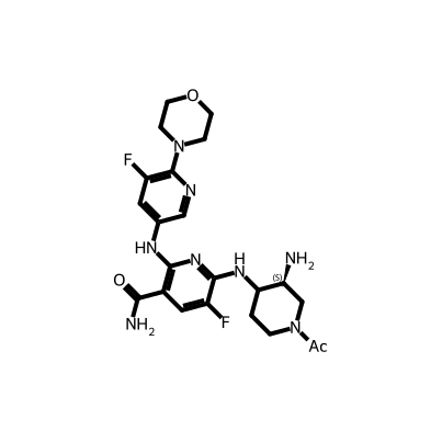 CC(=O)N1CCC(Nc2nc(Nc3cnc(N4CCOCC4)c(F)c3)c(C(N)=O)cc2F)[C@@H](N)C1